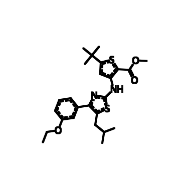 CCOc1cccc(-c2nc(Nc3cc(C(C)(C)C)sc3C(=O)OC)sc2CC(C)C)c1